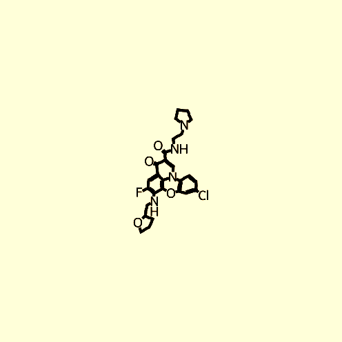 O=C(NCCN1CCCC1)c1cn2c3c(c(NCC4CCCO4)c(F)cc3c1=O)Oc1cc(Cl)ccc1-2